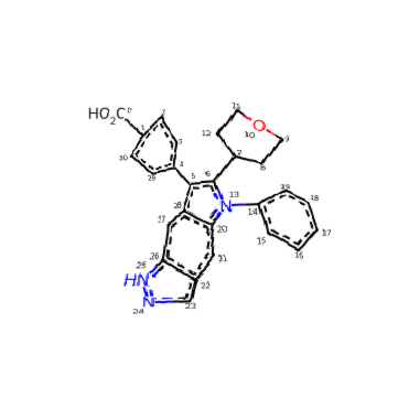 O=C(O)c1ccc(-c2c(C3CCOCC3)n(-c3ccccc3)c3cc4cn[nH]c4cc23)cc1